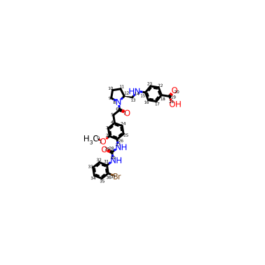 COc1cc(CC(=O)N2CCC[C@H]2CNc2ccc(C(=O)O)cc2)ccc1NC(=O)Nc1ccccc1Br